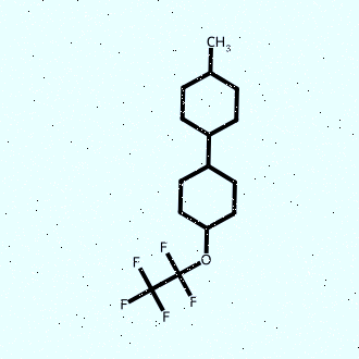 CC1CCC(C2CCC(OC(F)(F)C(F)(F)F)CC2)CC1